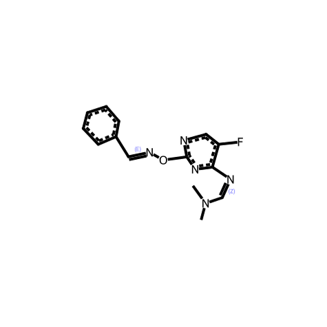 CN(C)/C=N\c1nc(O/N=C/c2ccccc2)ncc1F